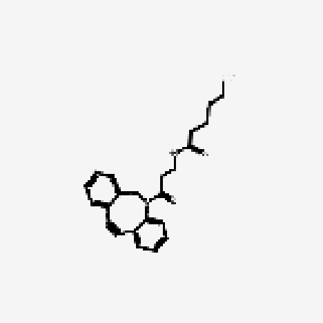 O=C(O)CCCCC(=O)NCCC(=O)N1Cc2ccccc2C#Cc2ccccc21